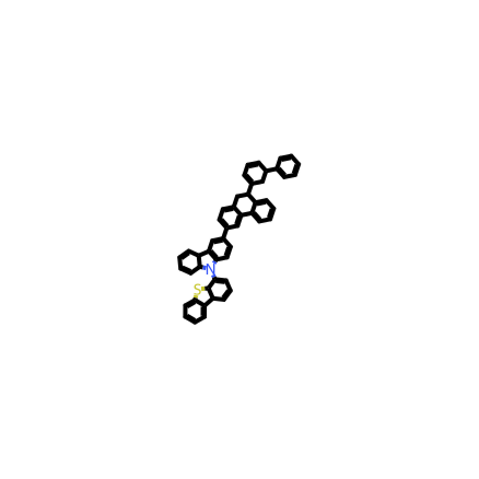 C1=CC(c2ccccc2)CC(C2Cc3ccc(-c4ccc5c(c4)C4C=CC=CC4N5C4=CC=CC5c6ccccc6SC45)cc3-c3ccccc32)=C1